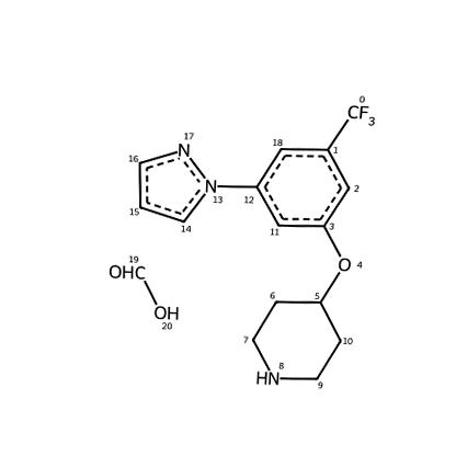 FC(F)(F)c1cc(OC2CCNCC2)cc(-n2cccn2)c1.O=CO